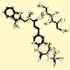 CNC[C@H](O)[C@@H](O)[C@H](O)[C@H](O)CO.Cc1c(CN(C)C(=O)/C=C/c2cnc3c(c2)N[C@H](C)[C@H](OP(=O)(O)O)C(=O)N3)oc2ccccc12